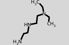 CCN(CC)CCNCCN